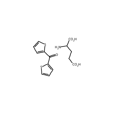 NC(CCC(=O)O)C(=O)O.O=C(c1cccs1)c1cccs1